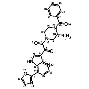 C[C@@H]1CN(C(=O)C(=O)c2c[nH]c3c(-c4ncco4)ccnc23)CCN1C(=O)c1ccccc1